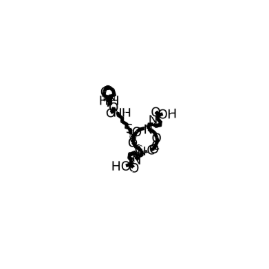 O=C(NCCCCCSC[C@@H]1COCCN(Cc2cccc(C(=O)O)n2)CCOCCOCCN(Cc2cccc(C(=O)O)n2)CCO1)OCC1[C@H]2CCC#CCC[C@@H]12